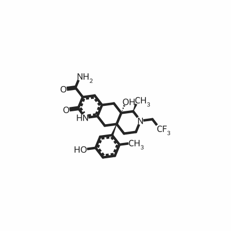 Cc1ccc(O)cc1[C@]12CCN(CC(F)(F)F)[C@H](C)[C@]1(O)Cc1cc(C(N)=O)c(=O)[nH]c1C2